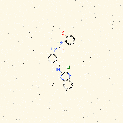 COc1ccccc1NC(=O)Nc1cccc(CNc2nc3cc(C)ccc3nc2Cl)c1